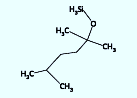 CC(C)CCC(C)(C)O[SiH3]